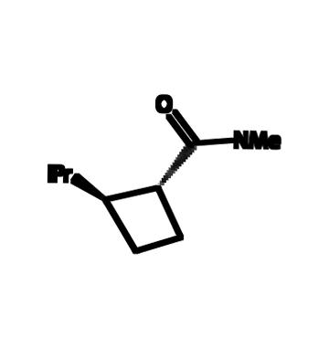 CNC(=O)[C@@H]1CC[C@H]1C(C)C